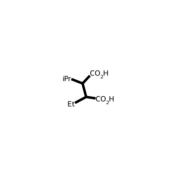 CCC(C(=O)O)C(C(=O)O)C(C)C